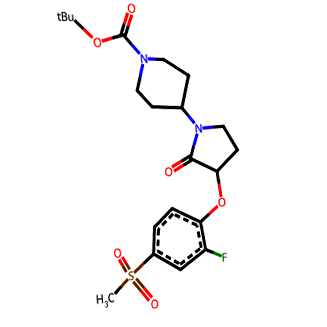 CC(C)(C)OC(=O)N1CCC(N2CCC(Oc3ccc(S(C)(=O)=O)cc3F)C2=O)CC1